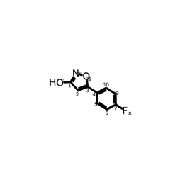 Oc1cc(-c2ccc(F)cc2)on1